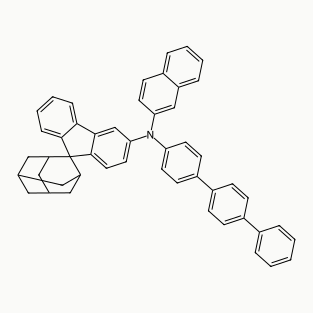 c1ccc(-c2ccc(-c3ccc(N(c4ccc5c(c4)-c4ccccc4C54C5CC6CC(C5)CC4C6)c4ccc5ccccc5c4)cc3)cc2)cc1